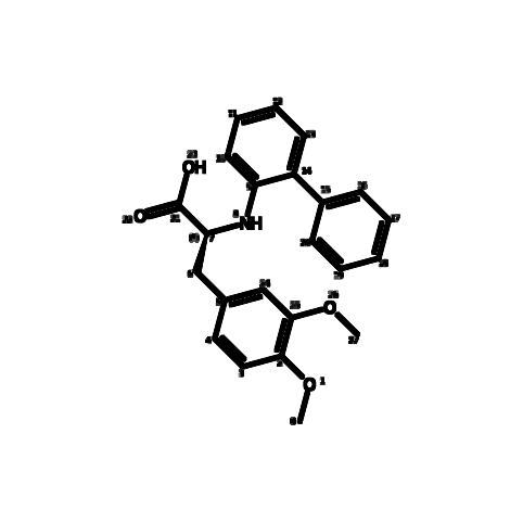 COc1ccc(C[C@H](Nc2ccccc2-c2ccccc2)C(=O)O)cc1OC